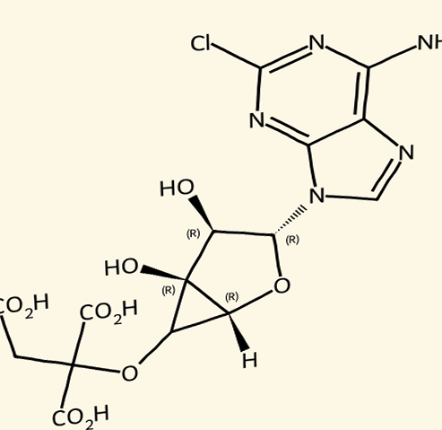 Nc1nc(Cl)nc2c1ncn2[C@@H]1O[C@@H]2C(OC(CC(=O)O)(C(=O)O)C(=O)O)[C@]2(O)[C@H]1O